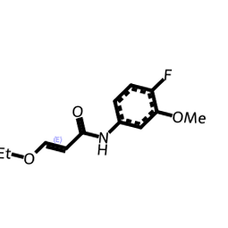 CCO/C=C/C(=O)Nc1ccc(F)c(OC)c1